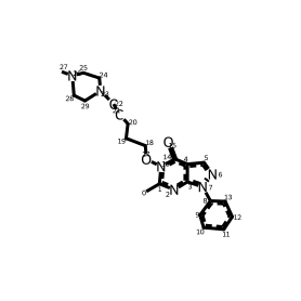 Cc1nc2c(cnn2-c2ccccc2)c(=O)n1OCCCCCN1CCN(C)CC1